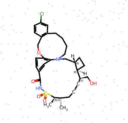 C[C@@H]1[C@@H](C)CCC[C@H](CO)[C@@H]2CC[C@H]2CN2CCCCc3cc(Cl)ccc3COc3ccc(cc32)C(=O)NS1(=O)=O